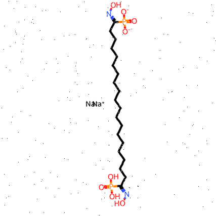 O=P([O-])([O-])C(CCCCCCCCCCCCCCCCCCC(=NO)P(=O)(O)O)=NO.[Na+].[Na+]